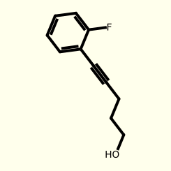 OCCCC#Cc1ccccc1F